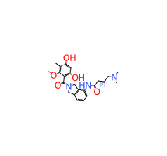 COc1c(C)c(O)cc(O)c1C(=O)N1Cc2cccc(NC(=O)/C=C/CN(C)C)c2C1